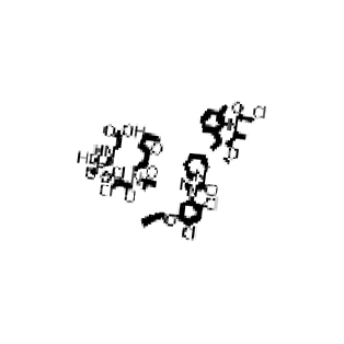 C#CCOc1cc(-n2nc3n(c2=O)CCCC3)c(Cl)cc1Cl.CC1(C)OC(c2ccco2)CN1C(=O)C(Cl)Cl.CCc1cccc(C)c1N(C(=O)CCl)C(C)COC.O=C(O)CNCP(=O)(O)O